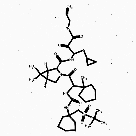 C=CCNC(=O)C(=O)C(CC1CC1)NC(=O)[C@@H]1[C@@H]2[C@H](CN1C(=O)C(NC(=O)NC1(CS(=O)(=O)C(C)(C)C)CCCCC1)C1(C)CCCCC1)C2(C)C